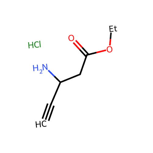 C#CC(N)CC(=O)OCC.Cl